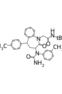 Cc1ccc(C2CC(N(C(N)=O)c3cccc(C)c3)C(=O)N(CC(=O)NC(C)(C)C)c3ccccc32)cc1